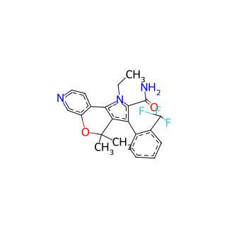 CCn1c(C(N)=O)c(-c2ccccc2C(F)(F)F)c2c1-c1ccncc1OC2(C)C